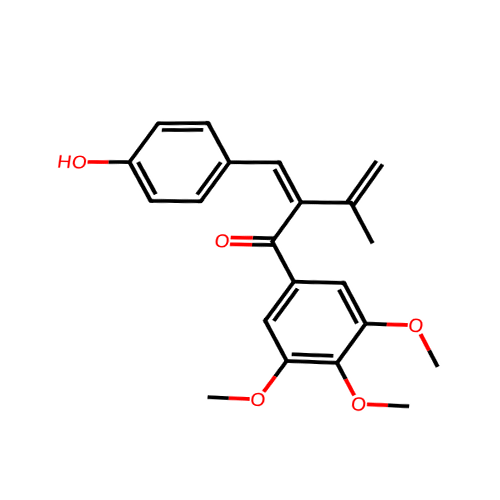 C=C(C)C(=Cc1ccc(O)cc1)C(=O)c1cc(OC)c(OC)c(OC)c1